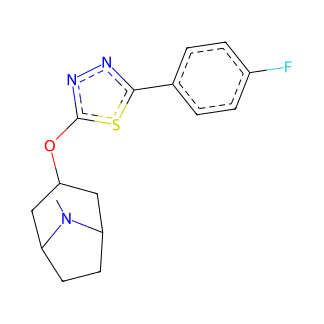 CN1C2CCC1CC(Oc1nnc(-c3ccc(F)cc3)s1)C2